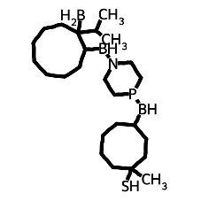 BC1(C(C)C)CCCCCCCC1BN1CCP(BC2CCCCC(C)(S)CC2)CC1